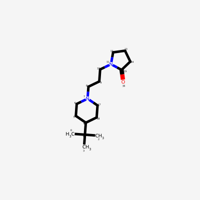 CC(C)(C)C1CCN(CCCN2CCCC2=O)CC1